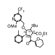 CCOC(=O)[C@@H]1[C@H](C(C)(C)C)[C@H](OCc2cc(C(F)(F)F)cnc2OC)[C@H](c2ccccc2C)N1C(=O)C1=CCCCO1